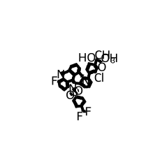 CC(O)(C(=O)O)c1ccc(-c2cccc(-c3c(-c4c(C#N)cccc4C#N)c4cc(F)ccc4n3S(=O)(=O)c3ccc(C(F)F)cc3)c2)c(Cl)c1